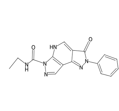 CCNC(=O)n1ncc2c3nn(-c4ccccc4)c(=O)c-3c[nH]c21